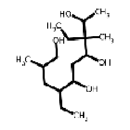 CCC(CC(C)CO)C(O)CC(O)C(C)(CC)C(C)O